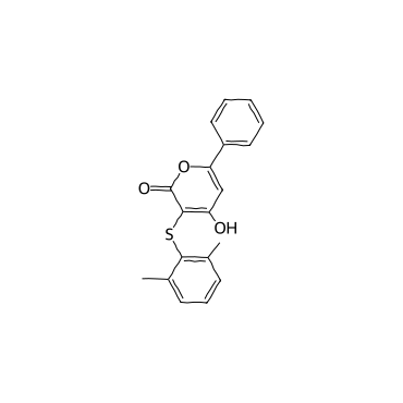 Cc1cccc(C)c1Sc1c(O)cc(-c2ccccc2)oc1=O